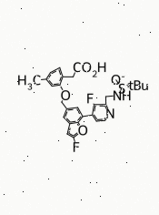 Cc1ccc(CC(=O)O)c(OCc2cc(-c3ccnc(CN[S+]([O-])C(C)(C)C)c3F)c3oc(F)cc3c2)c1